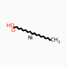 CCCCCCCCC=CCCCCCCCC(=O)O.[Ni]